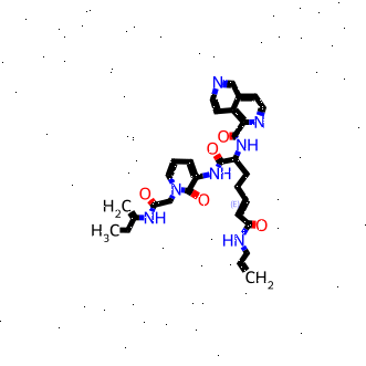 C=CCNC(=O)/C=C/CCC(NC(=O)c1nccc2cnccc12)C(=O)Nc1cccn(CC(=O)NC(=C)CC)c1=O